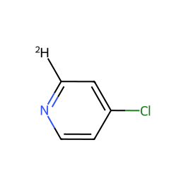 [2H]c1cc(Cl)ccn1